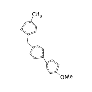 COc1ccc(-c2ccc(Cc3ccc(C)cc3)cc2)cc1